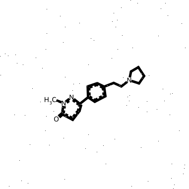 Cn1nc(-c2ccc(CCN3CCCC3)cc2)ccc1=O